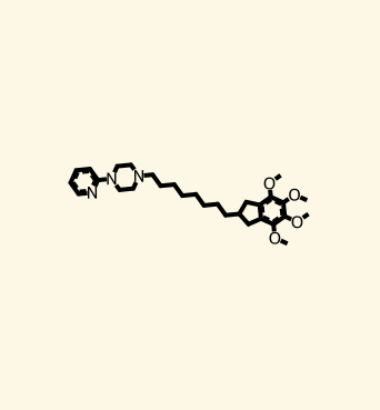 COc1c2c(c(OC)c(OC)c1OC)CC(CCCCCCCCN1CCN(c3ccccn3)CC1)C2